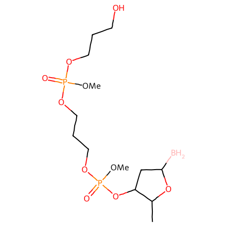 BC1CC(OP(=O)(OC)OCCCOP(=O)(OC)OCCCO)C(C)O1